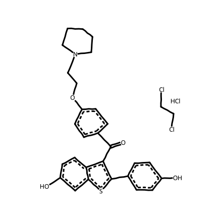 Cl.ClCCCl.O=C(c1ccc(OCCN2CCCCC2)cc1)c1c(-c2ccc(O)cc2)sc2cc(O)ccc12